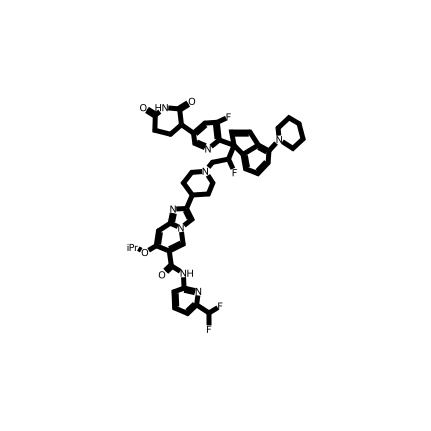 CC(C)Oc1cc2nc(C3CCN(CC(F)C4(c5ncc(C6CCC(=O)NC6=O)cc5F)C=Cc5c(N6CCCCC6)cccc54)CC3)cn2cc1C(=O)Nc1cccc(C(F)F)n1